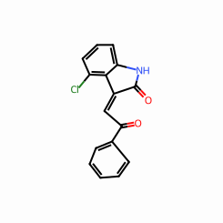 O=C1Nc2cccc(Cl)c2C1=CC(=O)c1ccccc1